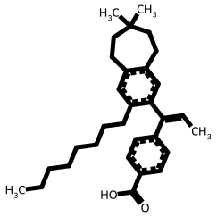 CC=C(c1ccc(C(=O)O)cc1)c1cc2c(cc1CCCCCCCC)CCC(C)(C)CC2